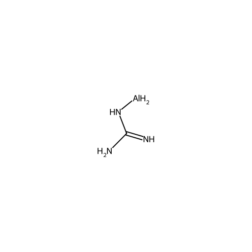 N=C(N)[NH][AlH2]